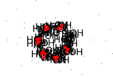 OC[C@H]1OC2O[C@H]3[C@H](O)[C@@H](O)C(OC4[C@@H](CO)OC(O[C@H]5[C@H](O)[C@@H](O)C(O[C@H]6[C@H](O)[C@@H](O)C(O[C@H]7[C@H](O)[C@@H](O)C(O[C@H]8[C@H](O)[C@@H](O)C(OC1[C@H](O)[C@H]2O)O[C@@H]8CO)O[C@@H]7CO)O[C@@H]6CO)O[C@@H]5CO)[C@H](O)[C@H]4O)O[C@@H]3CO